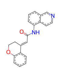 O=C(/C=C1\CCOc2ccccc21)Nc1cccc2cnccc12